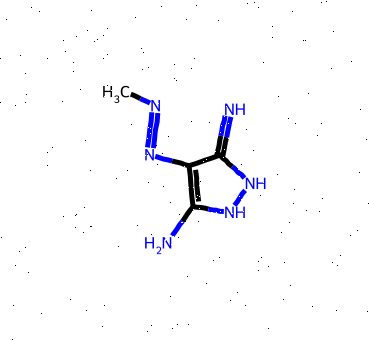 CN=Nc1c(N)[nH][nH]c1=N